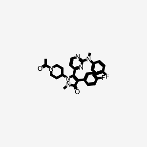 CC(=O)N1CCC(n2c(-c3ccnc(N(C)c4ccc(F)cc4)n3)c(-c3ccc(F)cc3)c(=O)n2C)CC1